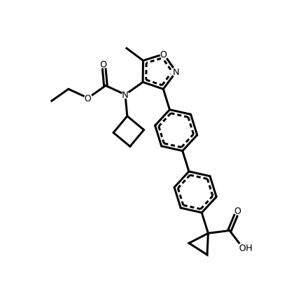 CCOC(=O)N(c1c(-c2ccc(-c3ccc(C4(C(=O)O)CC4)cc3)cc2)noc1C)C1CCC1